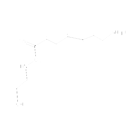 CCCCCCCCCCCCCC(=O)ONCCO